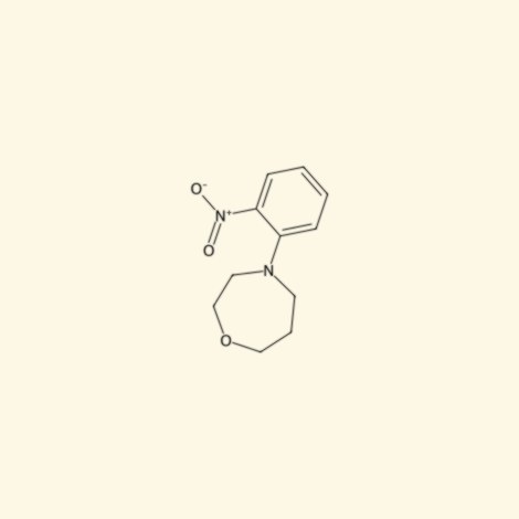 O=[N+]([O-])c1ccccc1N1CCCOCC1